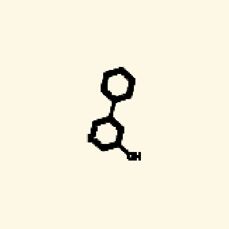 Oc1cncc(-c2ccccc2)c1